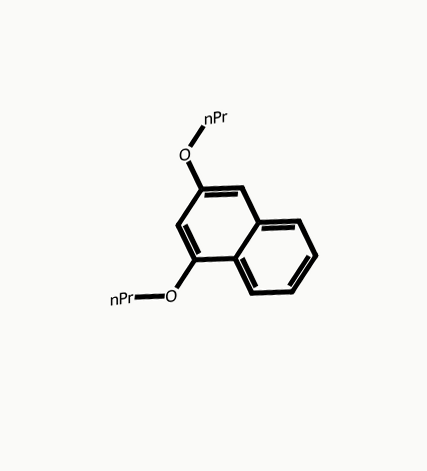 CCCOc1cc(OCCC)c2ccccc2c1